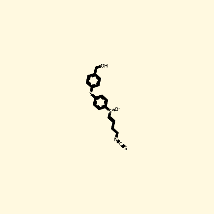 [O-][S+](/C=C/CCN=C=S)c1ccc(Sc2ccc(CO)cc2)cc1